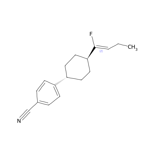 CC/C=C(\F)[C@H]1CC[C@H](c2ccc(C#N)cc2)CC1